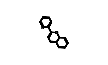 C1=CC2=CC=C(c3ccccn3)OC2C=C1